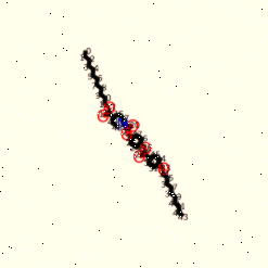 CCCCCCCCCCCCOC(=O)C1CCN(C(=O)Oc2ccc(OC(=O)c3ccc(OCCCCCCCCCC)cc3)cc2)CC1